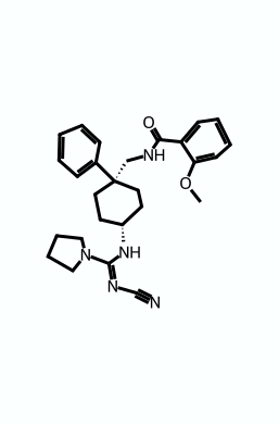 COc1ccccc1C(=O)NC[C@]1(c2ccccc2)CC[C@H](N/C(=N\C#N)N2CCCC2)CC1